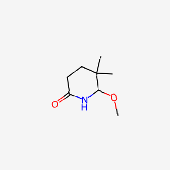 COC1NC(=O)CCC1(C)C